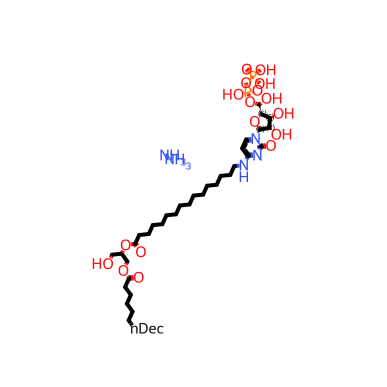 CCCCCCCCCCCCCCCC(=O)OCC(CO)OC(=O)CCCCCCCCCCCCCCCNc1ccn([C@@H]2O[C@H](C(O)OP(=O)(O)OP(=O)(O)O)[C@@H](O)[C@H]2O)c(=O)n1.N.N